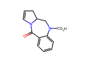 O=C(O)N1CC2CC=CN2C(=O)c2ccccc21